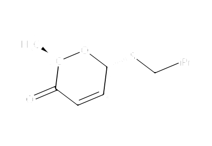 CC(C)CS[C@@H]1C=CC(=O)[13C@@H](C)O1